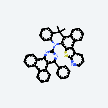 CC1(C)c2ccccc2N(c2nc(-c3ccccc3)c3c4ccccc4c4ccccc4c3n2)c2c1c1ccccc1c1c2sc2ncccc21